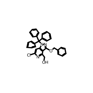 OCc1nc(Cl)cc2c1c(OCc1ccccc1)nn2C(c1ccccc1)(c1ccccc1)c1ccccc1